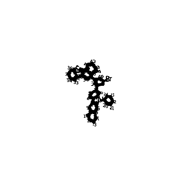 Brc1cc(-c2ccc3c4cc5ccccc5cc4n(-c4ccccc4)c3c2)cc(-c2cc3c4ccccc4sc3c3ccccc23)c1